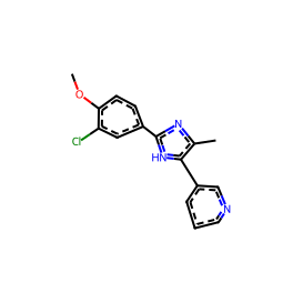 COc1ccc(-c2nc(C)c(-c3cccnc3)[nH]2)cc1Cl